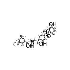 Cl.O=S(=O)(c1ccc(CCNCC(O)c2cccc(Cl)c2)cc1)c1cccc(O)c1